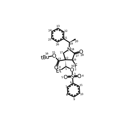 CCC(OS(=O)(=O)c1ccccc1)[C@]1(C(=O)OC(C)(C)C)CN([C@H](C)c2ccccc2)C(=O)C1F